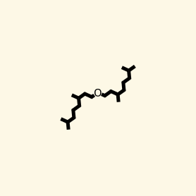 CC(C)CCCC(C)CCOCCC(C)CCCC(C)C